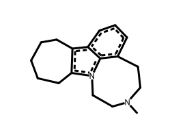 CN1CCc2cccc3c4c(n(c23)CC1)CCCCC4